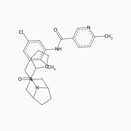 Cc1ccc(C(=O)Nc2cc(Cl)cc(CN3CC4CCC(C3)N4C(=O)C3CCCO3)c2C)cn1